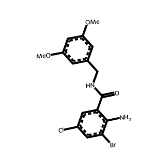 COc1cc(CNC(=O)c2cc(Cl)cc(Br)c2N)cc(OC)c1